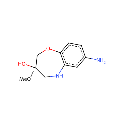 CO[C@@]1(O)CNc2cc(N)ccc2OC1